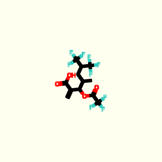 C=C(C(=O)O)C(OC(=O)C(F)(F)F)C(C)CC(C(F)(F)F)C(F)(F)F